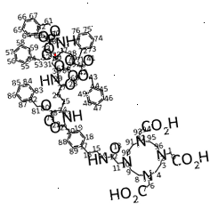 O=C(O)CN1CCN(CC(=O)O)CCN(CC(=O)NCCc2ccc(C(=O)N[C@H](CCC(=O)NC(CCOP(=O)(NC(CCC(=O)OCc3ccccc3)C(=O)OCc3ccccc3)OCc3ccccc3)C(=O)OCc3ccccc3)C(=O)OCc3ccccc3)cc2)CCN(CC(=O)O)CC1